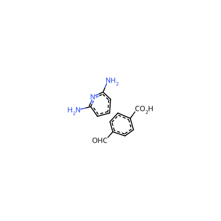 Nc1cccc(N)n1.O=Cc1ccc(C(=O)O)cc1